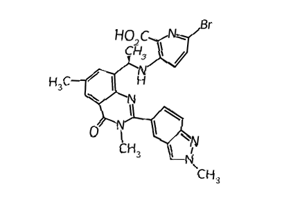 Cc1cc([C@@H](C)Nc2ccc(Br)nc2C(=O)O)c2nc(-c3ccc4nn(C)cc4c3)n(C)c(=O)c2c1